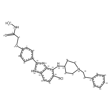 CNC(=O)COc1ccc(-c2nc3c(NC4CCN(CCc5ccccc5)CC4)c(Cl)cnc3[nH]2)cc1